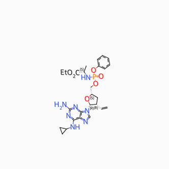 C=C[C@H]1C[C@@H](COP(=O)(N[C@@H](C)C(=O)OCC)Oc2ccccc2)O[C@H]1n1cnc2c(NC3CC3)nc(N)nc21